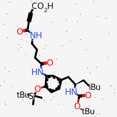 CCC(C)C[C@H](Cc1ccc(O[Si](C)(C)C(C)(C)C)c(NC(=O)CCCNC(=O)C#CC(=O)O)c1)NC(=O)OC(C)(C)C